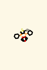 CC(C)c1scc(P(C2CCCCC2)C2CCCCC2)c1P(C1CCCCC1)C1CCCCC1